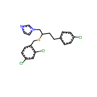 Clc1ccc(CCC(Cn2ccnc2)SCc2ccc(Cl)cc2Cl)cc1